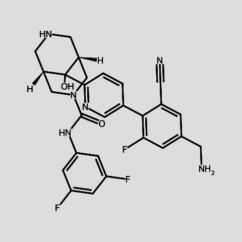 N#Cc1cc(CN)cc(F)c1-c1ccc(C2(O)[C@@H]3CNC[C@H]2CN(C(=O)Nc2cc(F)cc(F)c2)C3)nc1